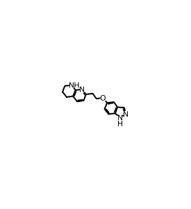 c1cc2[nH]ncc2cc1OCCc1ccc2c(n1)NCCC2